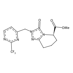 COC(=O)[C@H]1CCCc2nn(Cc3ccnc(C(F)(F)F)n3)c(=O)n21